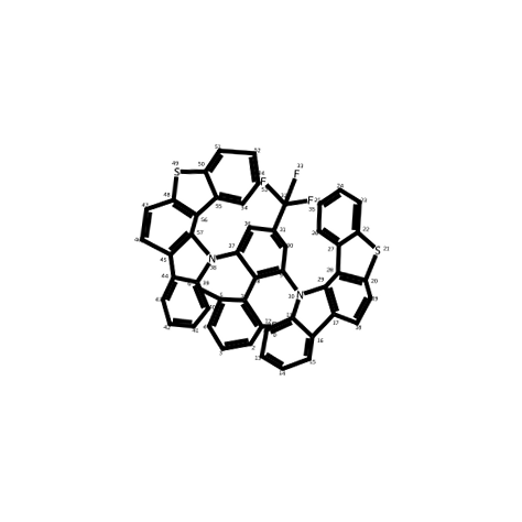 Fc1cccc(F)c1-c1c(-n2c3ccccc3c3ccc4sc5ccccc5c4c32)cc(C(F)(F)F)cc1-n1c2ccccc2c2ccc3sc4ccccc4c3c21